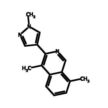 Cc1cccc2c(C)c(-c3cnn(C)c3)ncc12